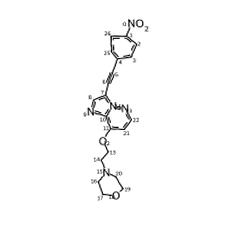 O=[N+]([O-])c1ccc(C#Cc2cnc3c(OCCN4CCOCC4)ccnn23)cc1